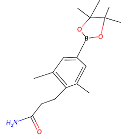 Cc1cc(B2OC(C)(C)C(C)(C)O2)cc(C)c1CCC(N)=O